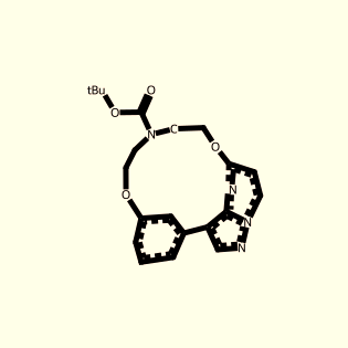 CC(C)(C)OC(=O)N1CCOc2cccc(c2)-c2cnn3ccc(nc23)OCC1